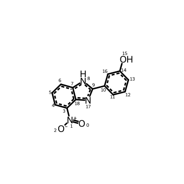 O=[N+]([O-])c1cccc2[nH]c(-c3cccc(O)c3)nc12